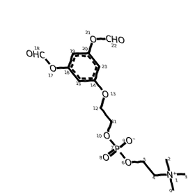 C[N+](C)(C)CCOP(=O)([O-])OCCOc1cc(OC=O)cc(OC=O)c1